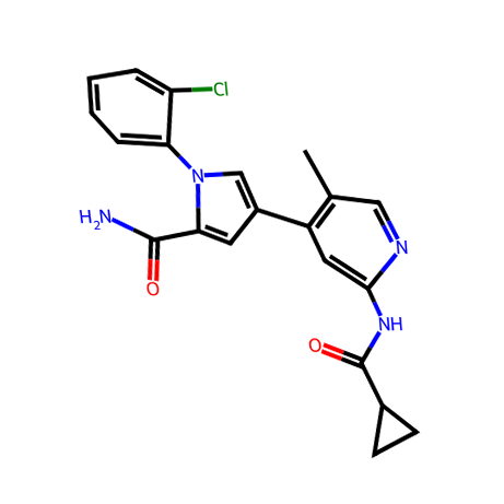 Cc1cnc(NC(=O)C2CC2)cc1-c1cc(C(N)=O)n(-c2ccccc2Cl)c1